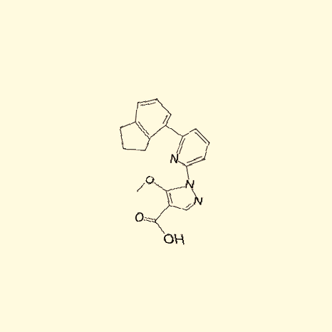 COc1c(C(=O)O)cnn1-c1cccc(-c2cccc3c2CCC3)n1